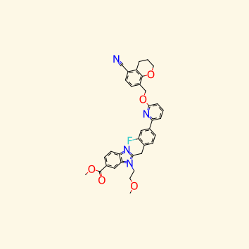 COCCn1c(Cc2ccc(-c3cccc(OCc4ccc(C#N)c5c4OCCC5)n3)cc2F)nc2ccc(C(=O)OC)cc21